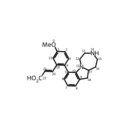 COc1ccc(-c2cccc3c2N2CCNCCC2C3)c(C=CC(=O)O)c1